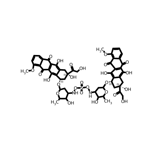 COc1cccc2c1C(=O)c1c(O)c3c(c(O)c1C2=O)C[C@@](O)(C(=O)CO)C[C@@H]3OC1CC(NOS(=O)(=O)ONC2CC(O[C@H]3C[C@](O)(C(=O)CO)Cc4c(O)c5c(c(O)c43)C(=O)c3c(OC)cccc3C5=O)OC(C)C2O)C(O)C(C)O1